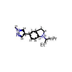 CCCC(CC)N1CCc2cc(-c3cnn(C)c3)ccc21